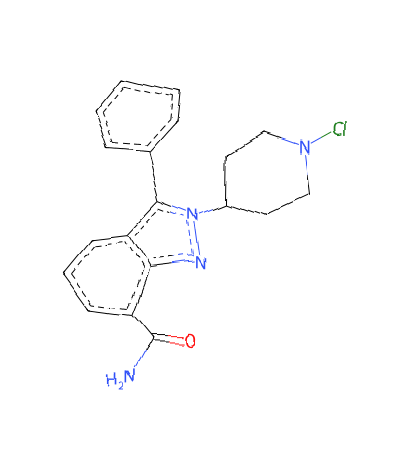 NC(=O)c1cccc2c(-c3ccccc3)n(C3CCN(Cl)CC3)nc12